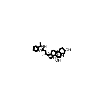 CC(NC(=O)C[C@@H](C)[C@H]1CC[C@H]2[C@@H]3[C@H](O)C[C@@H]4C[C@H](O)CC[C@]4(C)[C@H]3CC[C@]12C)c1ccccc1